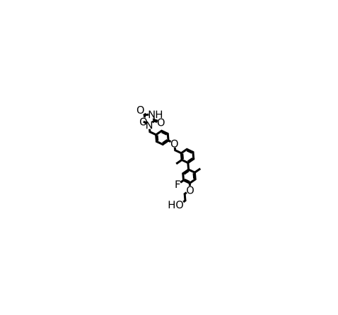 Cc1cc(OCCO)c(F)cc1-c1cccc(COc2ccc(Cn3oc(=O)[nH]c3=O)cc2)c1C